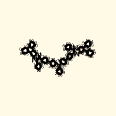 c1ccc(-c2cc3nc(-c4ccccc4)c(-c4ccc(-c5ccc(N(c6ccccc6)c6ccc(-c7ccc(-c8nc9cc(-c%10ccccc%10)c(-c%10ccccc%10)cc9nc8-c8ccccc8)cc7)cc6)cc5)cc4)nc3cc2-c2ccccc2)cc1